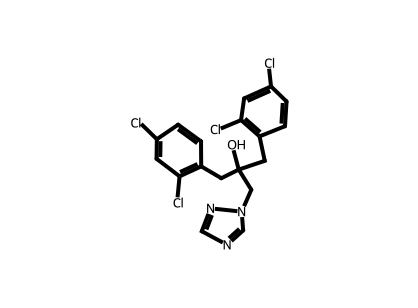 OC(Cc1ccc(Cl)cc1Cl)(Cc1ccc(Cl)cc1Cl)Cn1cncn1